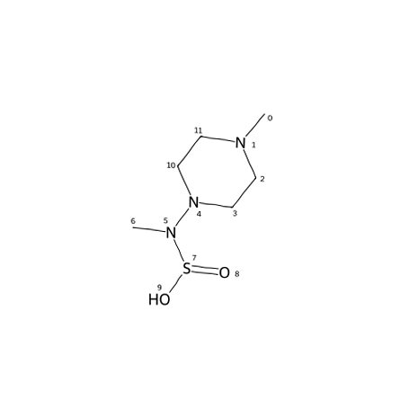 CN1CCN(N(C)S(=O)O)CC1